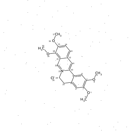 COc1cc2c(cc1OC)-c1cc3ccc(OC)c(OC)c3c[n+]1CC2.[Cl-]